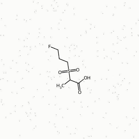 CC(C(=O)O)S(=O)(=O)CCCF